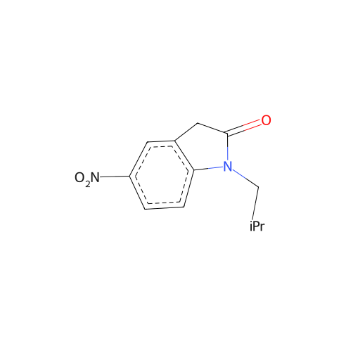 CC(C)CN1C(=O)Cc2cc([N+](=O)[O-])ccc21